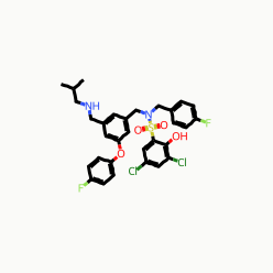 CC(C)CNCc1cc(CN(Cc2ccc(F)cc2)S(=O)(=O)c2cc(Cl)cc(Cl)c2O)cc(Oc2ccc(F)cc2)c1